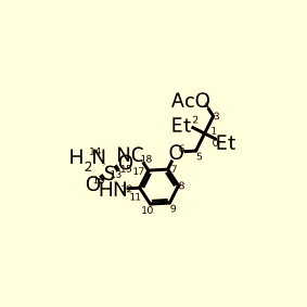 CCC(CC)(COC(C)=O)COc1cccc(NS(N)(=O)=O)c1C#N